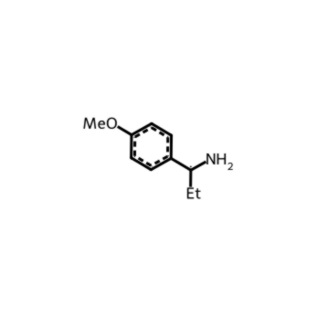 CC[C](N)c1ccc(OC)cc1